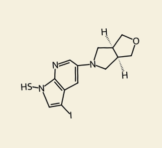 Sn1cc(I)c2cc(N3C[C@H]4COC[C@H]4C3)cnc21